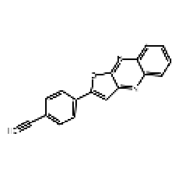 C#Cc1ccc(-c2cc3nc4ccccc4nc3o2)cc1